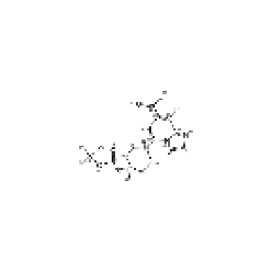 CC1(NC(=O)OC(C)(C)C)CCN(c2nc(C(=O)O)c(I)c3nccn23)CC1